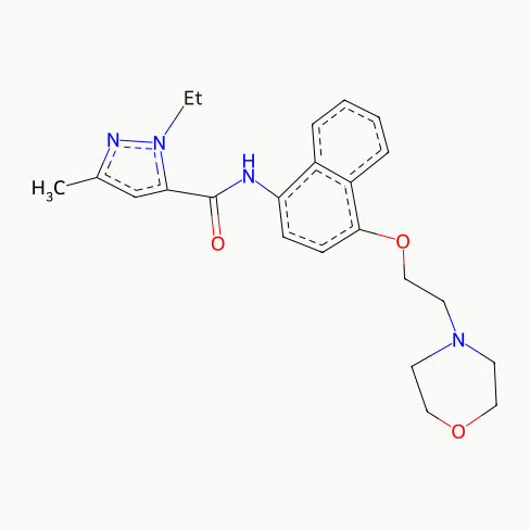 CCn1nc(C)cc1C(=O)Nc1ccc(OCCN2CCOCC2)c2ccccc12